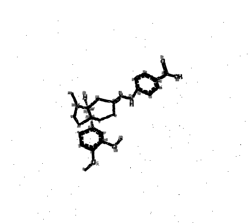 COc1ccc([C@@]23CCC(=NNc4ccc(C(=O)O)cc4)C[C@@H]2N(C)CC3)cc1OC